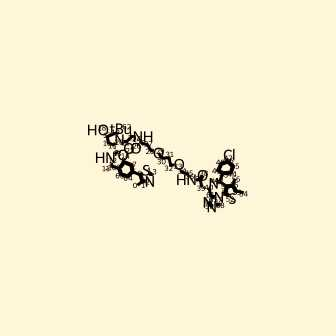 Cc1ncsc1-c1ccc([C@H](C)NC(=O)[C@@H]2C[C@@H](O)CN2C(=O)[C@@H](NC(=O)CCOCCCOCCNC(=O)C[C@@H]2N=C(c3ccc(Cl)cc3)c3c(sc(C)c3C)-n3cnnc32)C(C)(C)C)cc1